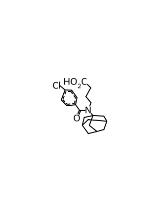 O=C(O)CCCN(C(=O)c1ccc(Cl)cc1)C12CC3CC(CC(C3)C1)C2